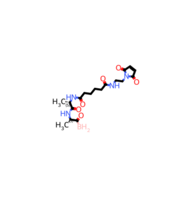 BC(=O)[C@H](C)NC(=O)[C@H](C)NC(=O)CCCCC(=O)NCCN1C(=O)C=CC1=O